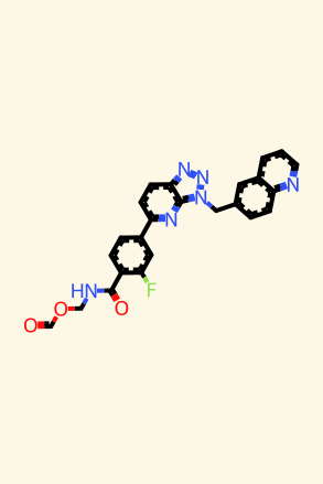 O=COCNC(=O)c1ccc(-c2ccc3nnn(Cc4ccc5ncccc5c4)c3n2)cc1F